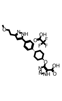 COCCc1cc(-c2ccc([C@H]3CC[C@H](Oc4nn[nH]c4C(=O)O)CC3)cc2)[nH]n1.O=C(O)C(F)(F)F